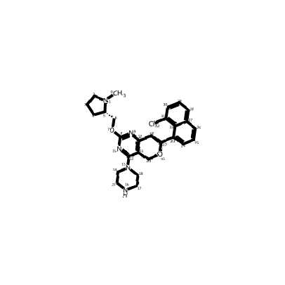 CN1CCC[C@H]1COc1nc2c(c(N3CCNCC3)n1)COC(c1cccc3cccc(Cl)c13)C2